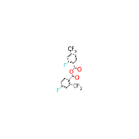 O=C(OC(=O)c1ccc(F)cc1C(F)(F)F)c1ccc(C(F)(F)F)cc1F